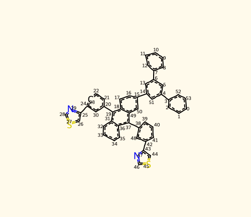 c1ccc(-c2cc(-c3ccccc3)cc(-c3ccc4c(-c5cccc(-c6cscn6)c5)c5ccccc5c(-c5cccc(-c6cscn6)c5)c4c3)c2)cc1